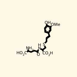 COc1cc(/C=C/CSCC(NC(=O)CCC(N)C(=O)O)C(=O)O)ccc1O